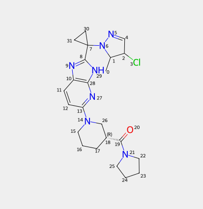 CC1C(Cl)C=NN1C1(c2nc3ccc(N4CCC[C@@H](C(=O)N5CCCC5)C4)nc3[nH]2)CC1